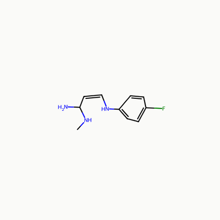 CNC(N)/C=C\Nc1ccc(F)cc1